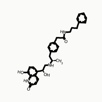 C[C@H](Cc1ccc(CC(=O)NCCCc2ccccc2)cc1)NC[C@@H](O)c1ccc(O)c2[nH]c(=O)ccc12